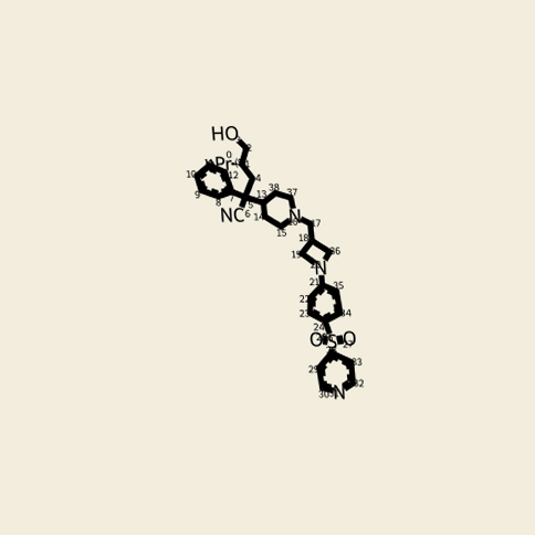 CCC[C@H](CO)CC(C#N)(c1ccccc1)C1CCN(CC2CN(c3ccc(S(=O)(=O)c4ccncc4)cc3)C2)CC1